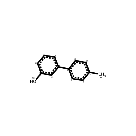 Cc1ccc(-c2[c]ccc(O)c2)cc1